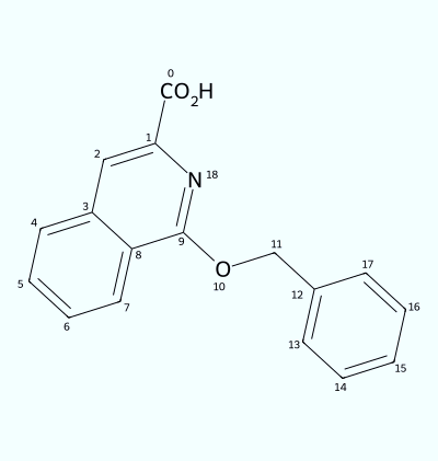 O=C(O)c1cc2ccccc2c(OCc2ccccc2)n1